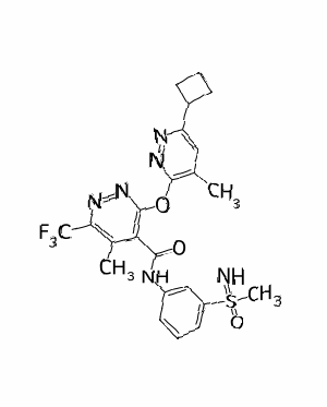 Cc1cc(C2CCC2)nnc1Oc1nnc(C(F)(F)F)c(C)c1C(=O)Nc1cccc(S(C)(=N)=O)c1